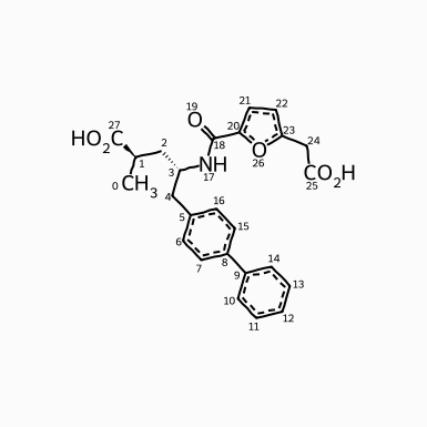 C[C@H](C[C@@H](Cc1ccc(-c2ccccc2)cc1)NC(=O)c1ccc(CC(=O)O)o1)C(=O)O